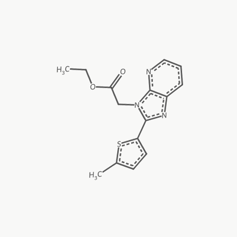 CCOC(=O)Cn1c(-c2ccc(C)s2)nc2cccnc21